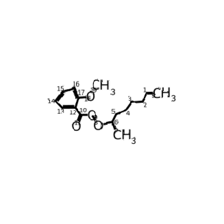 CCCCCC[C](C)OOC(=O)c1ccccc1OC